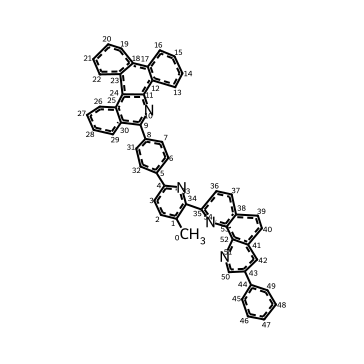 Cc1ccc(-c2ccc(-c3nc4c5ccccc5c5ccccc5c4c4ccccc34)cc2)nc1-c1ccc2ccc3cc(-c4ccccc4)cnc3c2n1